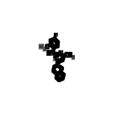 Cc1cc(N2CCc3ccccc3C2)nc(Nc2ccc(F)cc2C)n1